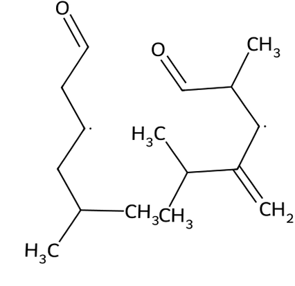 C=C([CH]C(C)C=O)C(C)C.CC(C)C[CH]CC=O